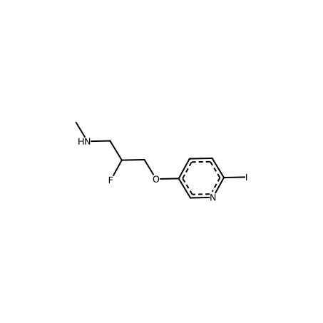 CNCC(F)COc1ccc(I)nc1